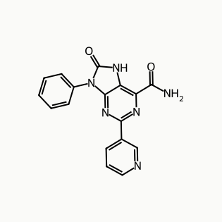 NC(=O)c1nc(-c2cccnc2)nc2c1[nH]c(=O)n2-c1ccccc1